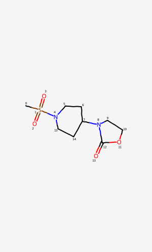 CS(=O)(=O)N1CCC(N2CCOC2=O)CC1